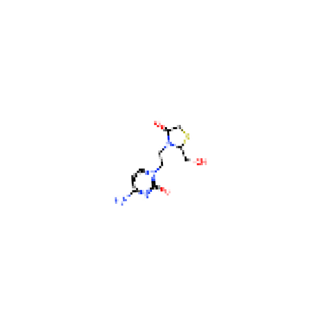 Nc1ccn(CCN2C(=O)CSC2CO)c(=O)n1